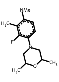 CNc1ccc(N2CC(C)OC(C)C2)c(F)c1C